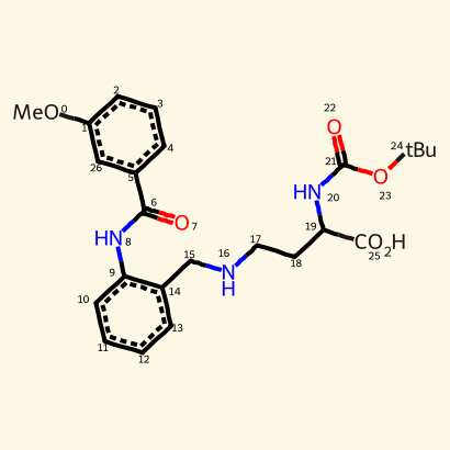 COc1cccc(C(=O)Nc2ccccc2CNCCC(NC(=O)OC(C)(C)C)C(=O)O)c1